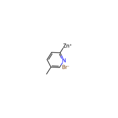 Cc1cc[c]([Zn+])nc1.[Br-]